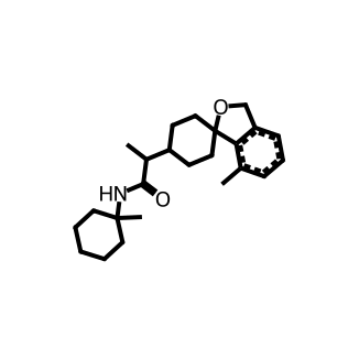 Cc1cccc2c1C1(CCC(C(C)C(=O)NC3(C)CCCCC3)CC1)OC2